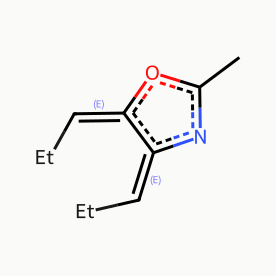 CC/C=c1/nc(C)o/c1=C/CC